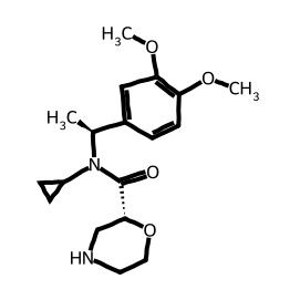 COc1ccc([C@H](C)N(C(=O)[C@H]2CNCCO2)C2CC2)cc1OC